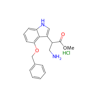 COC(=O)C(CN)c1c[nH]c2cccc(OCc3ccccc3)c12.Cl